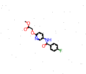 COC(=O)COc1ccc(NC(=O)c2ccc(F)cc2)cn1